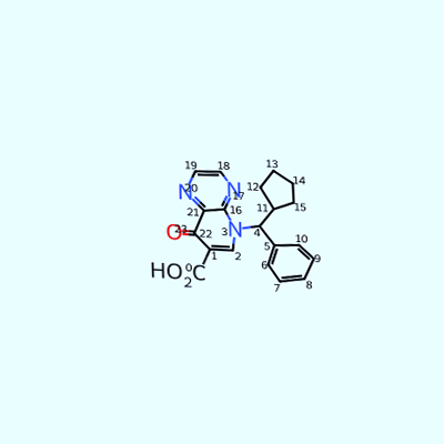 O=C(O)c1cn(C(c2ccccc2)C2CCCC2)c2nccnc2c1=O